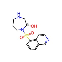 O=S(=O)(c1cccc2cnccc12)N1CCCNC[C@@H]1O